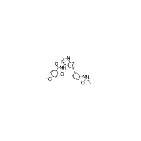 CCC(=O)Nc1cccc(-c2ccc3ncnc(NC(=O)c4ccc(OC)cc4Cl)c3c2)c1